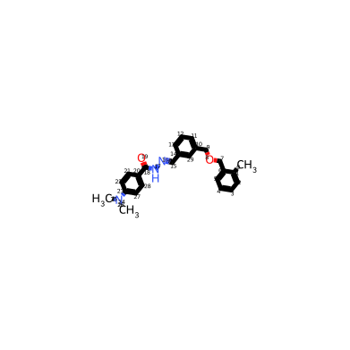 Cc1ccccc1COCc1cccc(/C=N/NC(=O)c2ccc(N(C)C)cc2)c1